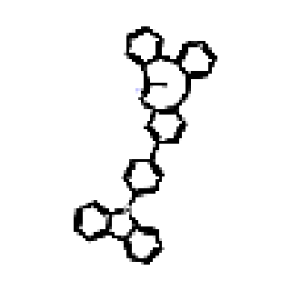 C/C1=N\c2cc(-c3ccc(-n4c5ccccc5c5ccccc54)cc3)ccc2Cc2ccccc2-c2ccccc21